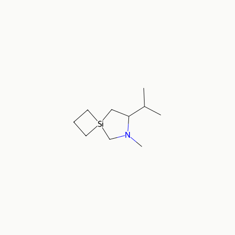 CC(C)C1C[Si]2(CCC2)CN1C